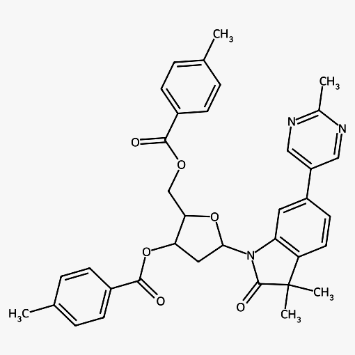 Cc1ccc(C(=O)OCC2OC(N3C(=O)C(C)(C)c4ccc(-c5cnc(C)nc5)cc43)CC2OC(=O)c2ccc(C)cc2)cc1